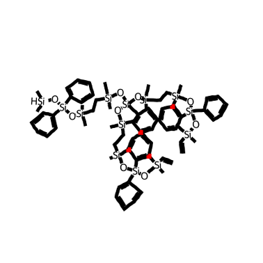 C=C[Si](C)(C)O[Si](O[Si](C)(C)CC[Si](C)(C)O[Si](O[Si](C)(C)CC[Si](C)(C)O[Si](O[SiH](C)C)(c1ccccc1)c1ccccc1)(O[Si](C)(C)CC[Si](C)(C)O[Si](O[Si](C)(C)C=C)(c1ccccc1)c1ccccc1)c1ccccc1)(c1ccccc1)c1ccccc1